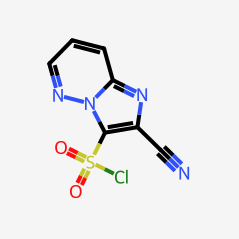 N#Cc1nc2cccnn2c1S(=O)(=O)Cl